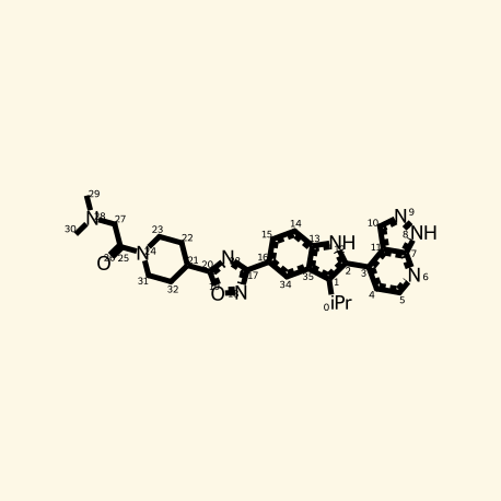 CC(C)c1c(-c2ccnc3[nH]ncc23)[nH]c2ccc(-c3noc(C4CCN(C(=O)CN(C)C)CC4)n3)cc12